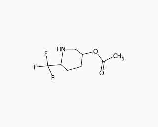 CC(=O)OC1CCC(C(F)(F)F)NC1